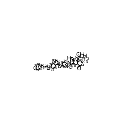 CC(C)(C)Cn1c2c(cc(C(=O)Nc3ccc(Oc4ccnc5cc(OCCCN6CCOCC6)ccc45)cn3)c1=O)C(=O)CCC2